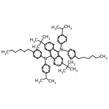 CCCCCCc1ccc(N(c2ccc(C(C)C)cc2)c2c3ccc(C(C)(C)C)cc3c(N(c3ccc(CCCCCC)cc3)c3ccc(C(C)C)cc3)c3ccc(C(C)(C)C)cc23)cc1